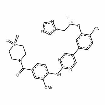 COc1cc(C(=O)N2CCS(=O)(=O)CC2)ccc1Nc1ncc(-c2ccc(C#N)c(O[C@@H](C)Cn3cncn3)c2)cn1